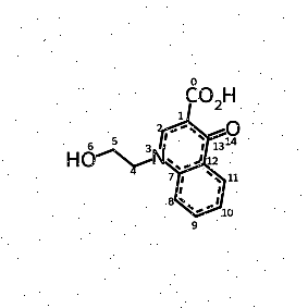 O=C(O)c1cn(CCO)c2ccccc2c1=O